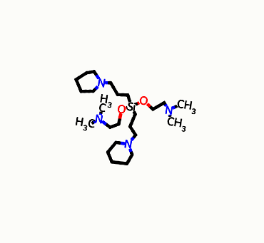 CN(C)CCO[Si](CCCN1CCCCC1)(CCCN1CCCCC1)OCCN(C)C